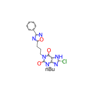 CCCCn1c(=O)n(CCCc2nc(-c3ccccc3)no2)c(=O)c2[nH]c(Cl)nc21